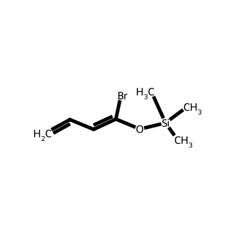 C=CC=C(Br)O[Si](C)(C)C